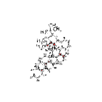 CC(C)(C)c1cc(-c2cccc3cccc(-c4ccccc4N(c4ccc5ccccc5c4)c4ccccc4-c4ccc(-c5ccccc5)cc4)c23)cc(C(C)(C)C)c1